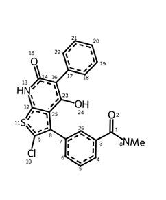 CNC(=O)c1cccc(-c2c(Cl)sc3[nH]c(=O)c(-c4ccccc4)c(O)c23)c1